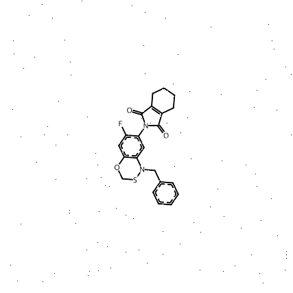 O=C1C2=C(CCCC2)C(=O)N1c1cc2c(cc1F)OCSN2Cc1ccccc1